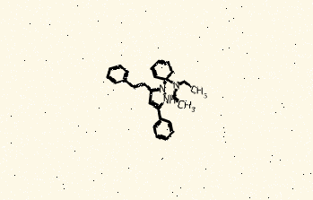 CCN(CC)C1(N2NC(c3ccccc3)=CC2C=Cc2ccccc2)C=CC=CC1